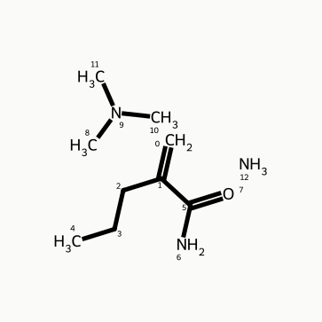 C=C(CCC)C(N)=O.CN(C)C.N